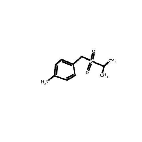 CC(C)S(=O)(=O)Cc1ccc(N)cc1